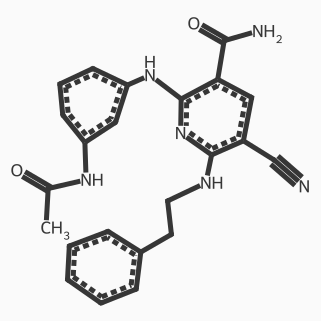 CC(=O)Nc1cccc(Nc2nc(NCCc3ccccc3)c(C#N)cc2C(N)=O)c1